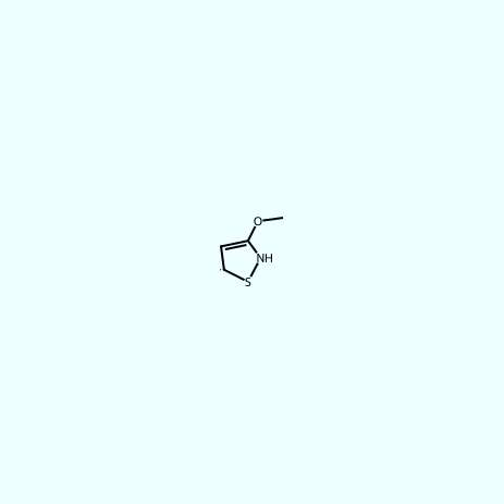 COC1=C[CH]SN1